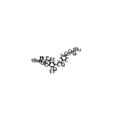 CCOc1cc(OCOC(=O)C(C)(C)C)c(C(C)(C)CC)cc1C=CC(=O)c1ccc(OCOC(=O)C(C)(C)C)cc1